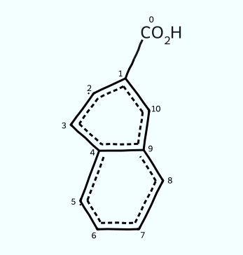 O=C(O)c1[c]cc2[c]cccc2c1